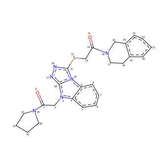 O=C(Cn1c2ccccc2n2c(SCC(=O)N3CCc4ccccc4C3)nnc12)N1CCCC1